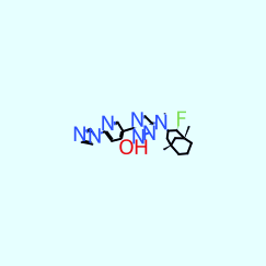 CN(c1cnc(-c2cnc(-n3ccnc3)cc2O)nn1)[C@@H]1C[C@@]2(C)CCC[C@](C)(C2)[C@H]1F